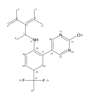 C=C(C)C(=C(C)C)C(C)NC1=C(c2cnc(Cl)nc2)CC(C(C)(F)F)C=C1